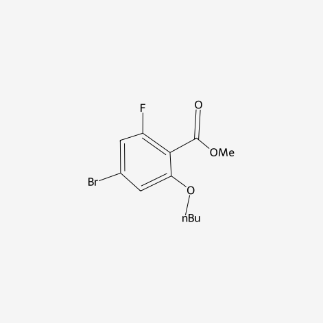 CCCCOc1cc(Br)cc(F)c1C(=O)OC